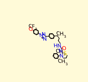 Cc1cccc(C)c1N1CCCS/C1=N\C(=O)NCCCC(C)c1ccc(-c2ncn(-c3ccc(OC(F)(F)F)cc3)n2)cc1